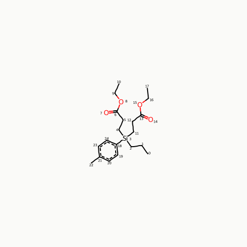 CCC[Si](CCC(=O)OCC)(CCC(=O)OCC)c1ccc(C)cc1